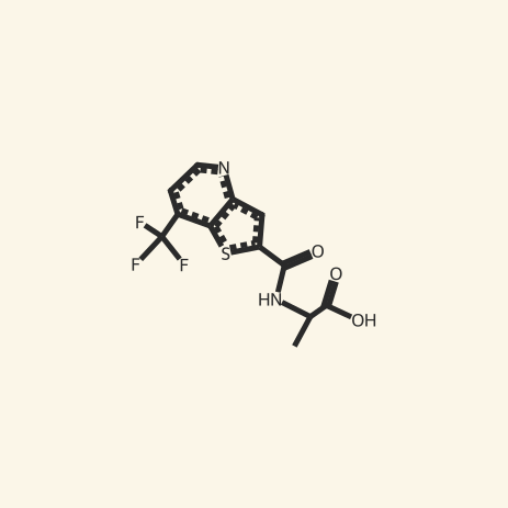 CC(NC(=O)c1cc2nccc(C(F)(F)F)c2s1)C(=O)O